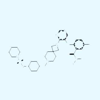 CCN(C(=O)c1cc(F)ccc1Oc1cncnc1N1CC2(CCN(C[C@H]3CC[C@H](NS(=O)(=O)N4CCCCC4)CC3)CC2)C1)C(C)C